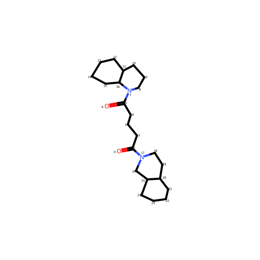 O=C(CCCC(=O)N1CCCC2CCCCC21)N1CCC2CCCCC2C1